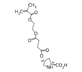 C=C(C)C(=O)OCCOC(=O)CCC(=O)O[C@H]1CN[C@H](C(=O)O)C1